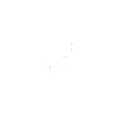 O=C(O)N1CCN(C2CC2)S1